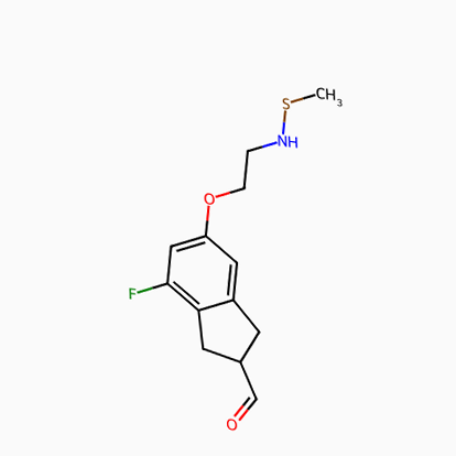 CSNCCOc1cc(F)c2c(c1)CC(C=O)C2